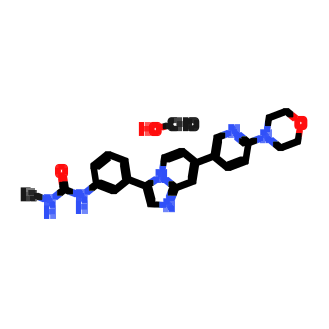 CCNC(=O)Nc1cccc(-c2cnc3cc(-c4ccc(N5CCOCC5)nc4)ccn23)c1.O=CO